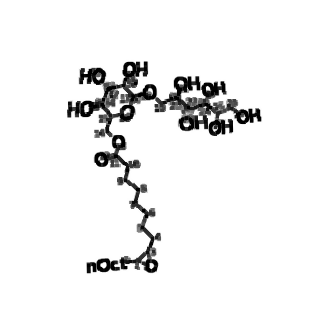 CCCCCCCCC1OC1CCCCCCCC(=O)OCC1O[C@H](OC[C@@H](O)[C@@H](O)[C@H](O)C(O)CO)C(O)[C@@H](O)[C@@H]1O